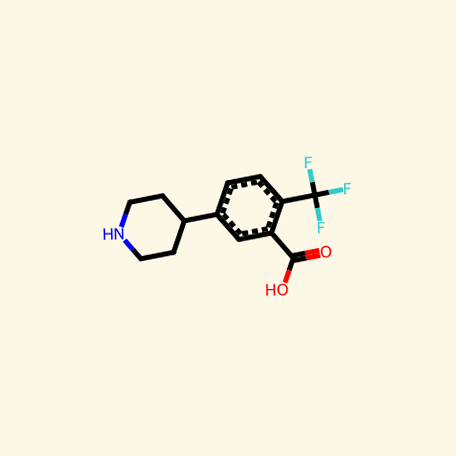 O=C(O)c1cc(C2CCNCC2)ccc1C(F)(F)F